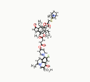 C=C[C@@]1(C)C[C@H](OC(=O)CSC2CC3CCC(C2)N3C)[C@@]2(C)C(C)CCC3(CCC(=O)C32)[C@H](C)[C@@H]1OC(=O)CCC(=O)OC1CCN(c2c(F)cc3c(=O)c(C(=O)O)cn4c3c2CCC4C)CC1